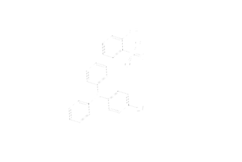 CCc1ccc([S+](c2ccccc2)c2ccccc2)cc1.O=S(=O)([O-])c1ccccc1C(F)(F)F